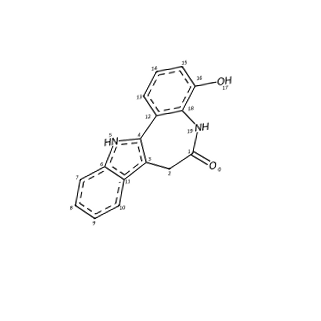 O=C1Cc2c([nH]c3ccccc23)-c2cccc(O)c2N1